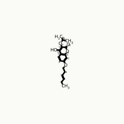 CC/C=C/CCOc1ccc2c(O)c(OC(C)C)c(=O)oc2c1